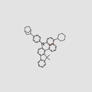 CC1(C)c2ccccc2-c2ccc(N(c3ccc(C4CCCCC4)cc3)c3ccc(C4CC5CCC4C5)cc3)c(-c3ccccc3)c21